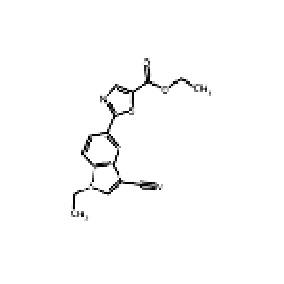 CCOC(=O)c1cnc(-c2ccc3c(c2)c(C#N)cn3CC)s1